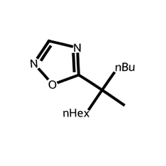 CCCCCCC(C)(CCCC)c1ncno1